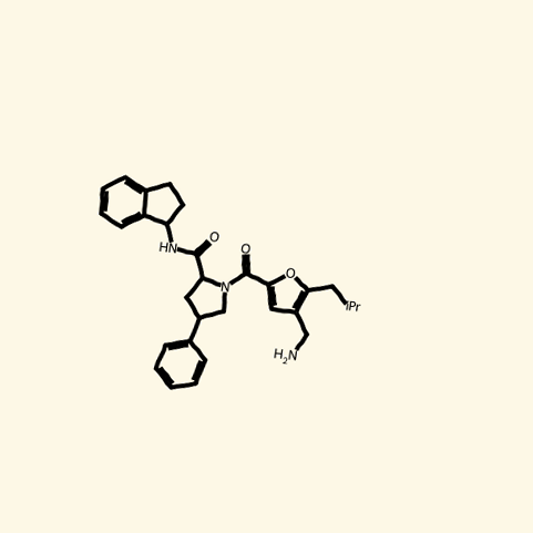 CC(C)Cc1oc(C(=O)N2CC(c3ccccc3)CC2C(=O)NC2CCc3ccccc32)cc1CN